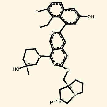 CCc1c(F)ccc2cc(O)cc(-c3cc4nc(OC[C@@]56CCCN5C[C@H](F)C6)nc(N5CCC[C@@](C)(O)C5)c4cn3)c12